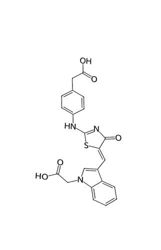 O=C(O)Cc1ccc(NC2=NC(=O)C(=Cc3cn(CC(=O)O)c4ccccc34)S2)cc1